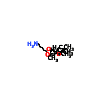 CC(C)(CCOC(C)(C)C(C)(C)C)OC(=O)CCCCN